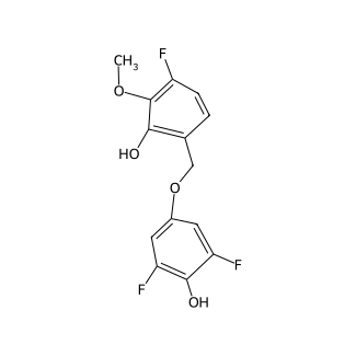 COc1c(F)ccc(COc2cc(F)c(O)c(F)c2)c1O